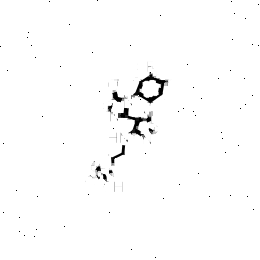 CS(=O)(=O)OCCNc1nonc1-c1noc(=O)n1-c1ccc(F)c(C(F)(F)F)c1